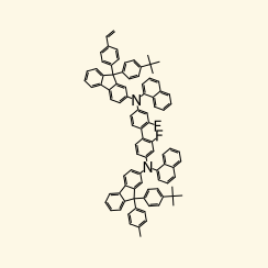 C=Cc1ccc(C2(c3ccc(C(C)(C)C)cc3)c3ccccc3-c3ccc(N(c4ccc(-c5ccc(N(c6ccc7c(c6)C(c6ccc(C)cc6)(c6ccc(C(C)(C)C)cc6)c6ccccc6-7)c6cccc7ccccc67)cc5F)c(F)c4)c4cccc5ccccc45)cc32)cc1